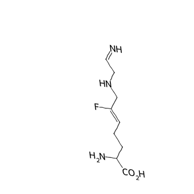 N=CCNCC(F)=CCCC(N)C(=O)O